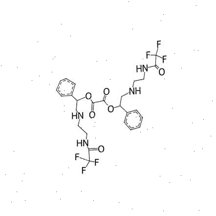 O=C(OC(CNCCNC(=O)C(F)(F)F)c1ccccc1)C(=O)OC(CNCCNC(=O)C(F)(F)F)c1ccccc1